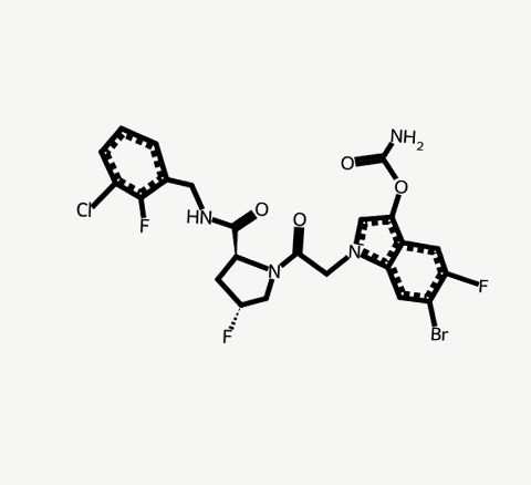 NC(=O)Oc1cn(CC(=O)N2C[C@H](F)C[C@H]2C(=O)NCc2cccc(Cl)c2F)c2cc(Br)c(F)cc12